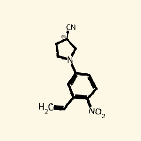 C=Cc1cc(N2CC[C@@H](C#N)C2)ccc1[N+](=O)[O-]